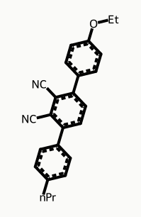 CCCc1ccc(-c2ccc(-c3ccc(OCC)cc3)c(C#N)c2C#N)cc1